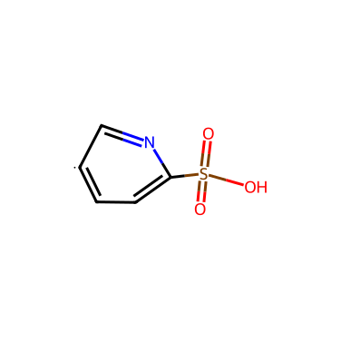 O=S(=O)(O)c1cc[c]cn1